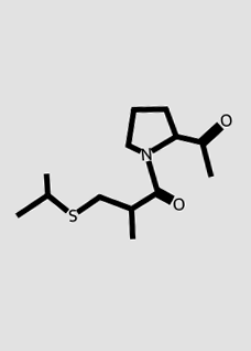 CC(=O)C1CCCN1C(=O)C(C)CSC(C)C